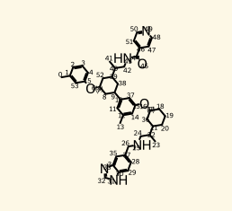 Cc1cccc(O[C@@H]2CC(c3cc(C)cc(O[C@@H]4CCCC(C(C)CNCc5ccc6[nH]cnc6c5)C4)c3)CC(C(C)CNC(=O)c3ccncc3)C2)c1